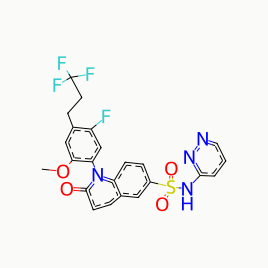 COc1cc(CCC(F)(F)F)c(F)cc1-n1c(=O)ccc2cc(S(=O)(=O)Nc3cccnn3)ccc21